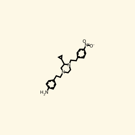 Nc1ccc(CCN2CCN(CCc3ccc([N+](=O)[O-])cc3)C(C3CC3)C2)cc1